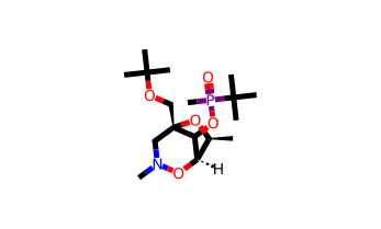 C[C@@H]1O[C@@]2(COC(C)(C)C)CN(C)O[C@H]1C2OP(C)(=O)C(C)(C)C